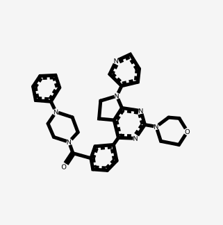 O=C(c1cccc(-c2nc(N3CCOCC3)nc3c2CCN3c2cccnc2)c1)N1CCN(c2ccccc2)CC1